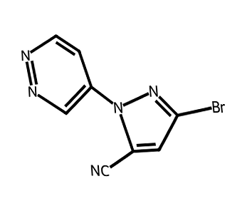 N#Cc1cc(Br)nn1-c1ccnnc1